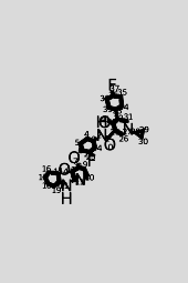 O=C(Nc1ccc(Oc2ccnc3c2Oc2ccccc2N3)c(F)c1)c1cn(C2CC2)cc(-c2ccc(F)cc2)c1=O